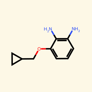 Nc1cccc(OCC2CC2)c1N